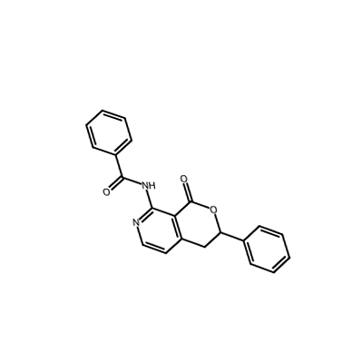 O=C(Nc1nccc2c1C(=O)OC(c1ccccc1)C2)c1ccccc1